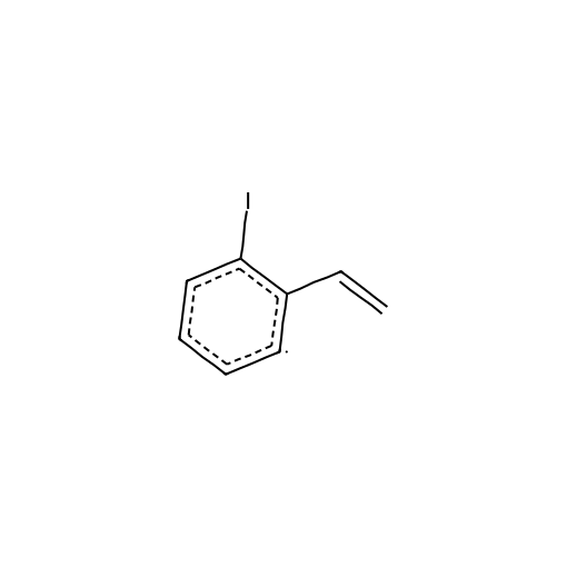 C=Cc1[c]cccc1I